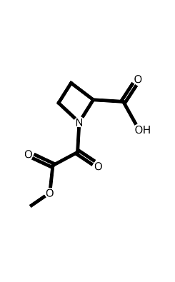 COC(=O)C(=O)N1CCC1C(=O)O